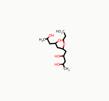 CC(O)CC(O)CC(CC(O)CC(C)O)OCCC(=O)O